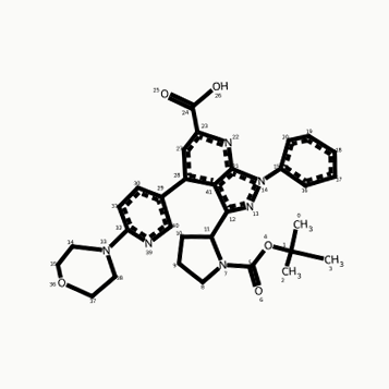 CC(C)(C)OC(=O)N1CCCC1c1nn(-c2ccccc2)c2nc(C(=O)O)cc(-c3ccc(N4CCOCC4)nc3)c12